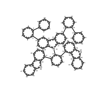 c1ccc(-c2ccccc2-c2ccc3c(c2)c2cc(-c4ccccc4-c4ccccc4)ccc2n3-c2c(-c3cccc4c3oc3ccccc34)cccc2-c2cccc3oc4ccccc4c23)cc1